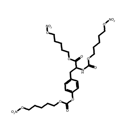 O=C(NC(Cc1ccc(OC(=O)OCCCCCO[N+](=O)[O-])cc1)C(=O)OCCCCCO[N+](=O)[O-])OCCCCCO[N+](=O)[O-]